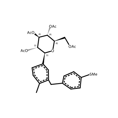 CSc1ccc(Cc2cc([C@@H]3O[C@H](COC(C)=O)[C@@H](OC(C)=O)[C@H](OC(C)=O)[C@H]3OC(C)=O)ccc2C)cc1